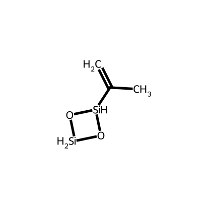 C=C(C)[SiH]1O[SiH2]O1